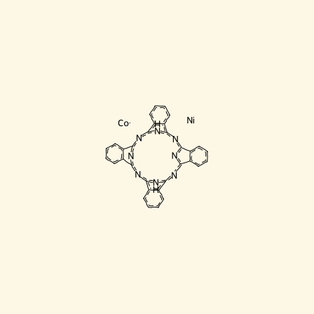 [Co].[Ni].c1ccc2c(c1)-c1nc-2nc2[nH]c(nc3nc(nc4[nH]c(n1)c1ccccc41)-c1ccccc1-3)c1ccccc21